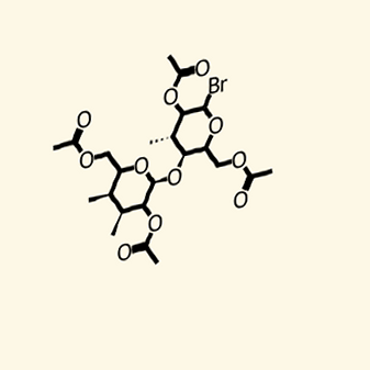 CC(=O)OCC1OC(Br)C(OC(C)=O)[C@@H](C)[C@@H]1O[C@@H]1OC(COC(C)=O)[C@H](C)[C@H](C)C1OC(C)=O